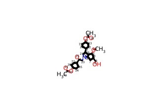 COc1cc(CO)cc2c1c(-c1ccc(OC(C)=O)cc1)cn2CC(=O)c1ccc(OC(C)=O)cc1